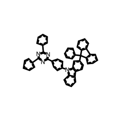 c1ccc(-c2nc(-c3ccccc3)nc(-c3ccc(-n4c5ccccc5c5ccc(C6(c7ccccc7)c7ccccc7-c7ccccc76)cc54)cc3)n2)cc1